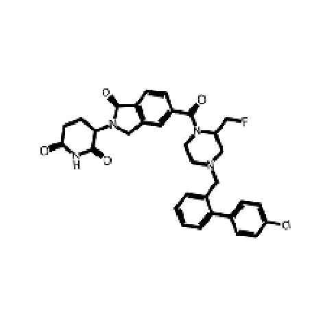 O=C1CCC(N2Cc3cc(C(=O)N4CCN(Cc5ccccc5-c5ccc(Cl)cc5)CC4CF)ccc3C2=O)C(=O)N1